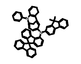 CC1(C)c2ccccc2-c2ccc(N(C3=CC=C4CC(=C3)C3=C(C=CCC3)N4c3ccccc3)c3cccc4c3-c3ccccc3C43c4ccccc4-c4ccccc43)cc21